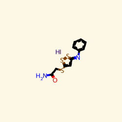 I.NC(=O)CSc1cc(=Nc2ccccc2)ss1